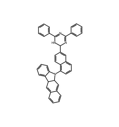 C1=c2ccccc2=CC2C1c1ccccc1N2c1cccc2cc(C3N=C(c4ccccc4)N=C(c4ccccc4)N3)ccc12